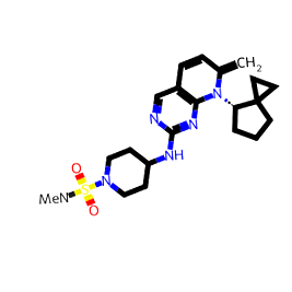 C=C1C=Cc2cnc(NC3CCN(S(=O)(=O)NC)CC3)nc2N1[C@H]1CCCC12CC2